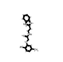 Cc1ccc(C(C)C)c(OCC(=O)NCCc2nc3ccccc3[nH]2)c1